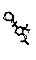 CC(C)OC1CCN(C(C)(C)N2CCCOC2)CC1(F)F